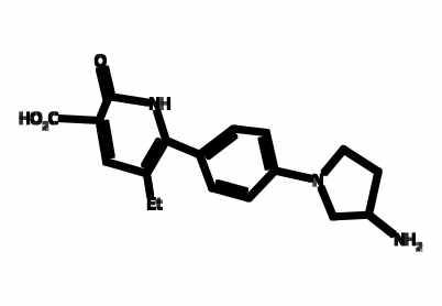 CCc1cc(C(=O)O)c(=O)[nH]c1-c1ccc(N2CCC(N)C2)cc1